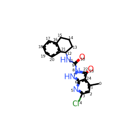 Cc1cc(Cl)nc2[nH]n(C(=O)N[C@@H]3CCCc4ccccc43)c(=O)c12